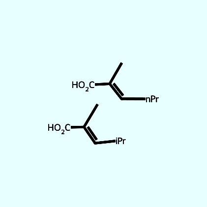 CC(=CC(C)C)C(=O)O.CCCC=C(C)C(=O)O